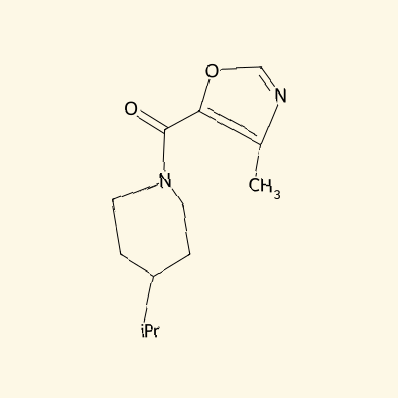 Cc1ncoc1C(=O)N1CCC(C(C)C)CC1